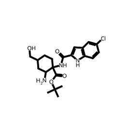 CC(C)(C)OC(=O)C1(NC(=O)c2cc3cc(Cl)ccc3[nH]2)CCC(CO)CC1N